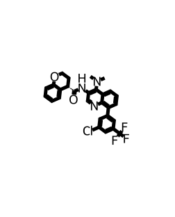 CN(C)c1c(NC(=O)[C@H]2CCOc3ccccc32)cnc2c(-c3cc(Cl)cc(C(F)(F)F)c3)cccc12